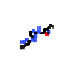 CC(C)c1cc(CNc2nccc(Nc3cc(C(C)C)[nH]n3)n2)on1